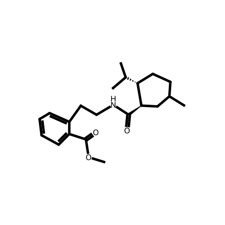 COC(=O)c1ccccc1CCNC(=O)[C@@H]1CC(C)CC[C@H]1C(C)C